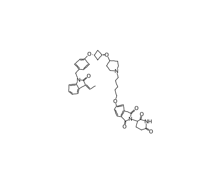 C/C=C1\C(=O)N(Cc2ccc(O[C@H]3C[C@H](OC4CCN(CCCCCOc5ccc6c(c5)C(=O)N(C5CCC(=O)NC5=O)C6=O)CC4)C3)cc2)c2ccccc21